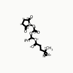 CC(C)C(OC(=O)CCC1(C)N=N1)OC(=O)ON1C(=O)CCC1=O